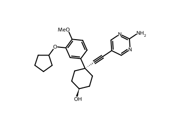 COc1ccc([C@]2(C#Cc3cnc(N)nc3)CC[C@H](O)CC2)cc1OC1CCCC1